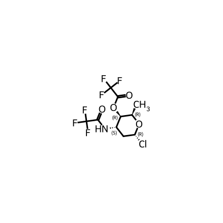 C[C@H]1O[C@H](Cl)C[C@H](NC(=O)C(F)(F)F)[C@H]1OC(=O)C(F)(F)F